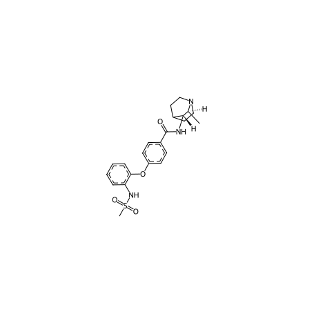 C[C@H]1[C@H](NC(=O)c2ccc(Oc3ccccc3NS(C)(=O)=O)cc2)C2CCN1CC2